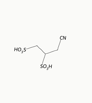 N#CCC(CS(=O)(=O)O)S(=O)(=O)O